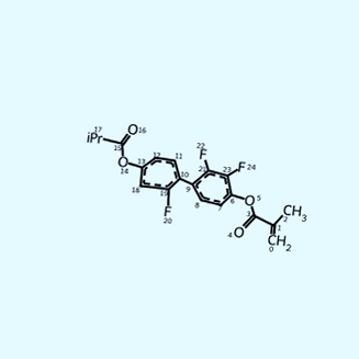 C=C(C)C(=O)Oc1ccc(-c2ccc(OC(=O)C(C)C)cc2F)c(F)c1F